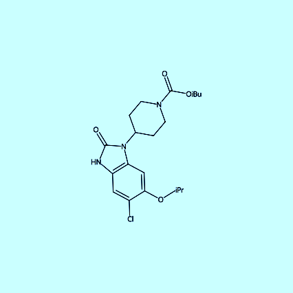 CC(C)COC(=O)N1CCC(n2c(=O)[nH]c3cc(Cl)c(OC(C)C)cc32)CC1